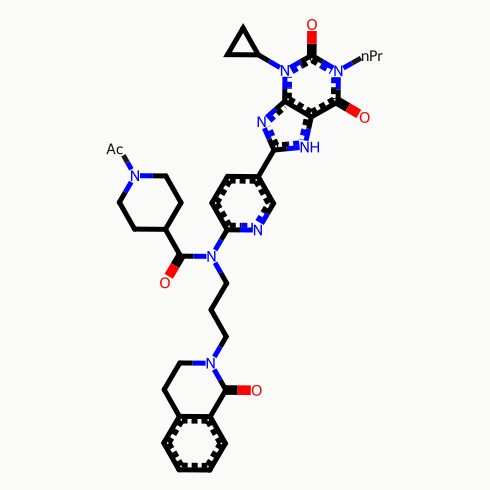 CCCn1c(=O)c2[nH]c(-c3ccc(N(CCCN4CCc5ccccc5C4=O)C(=O)C4CCN(C(C)=O)CC4)nc3)nc2n(C2CC2)c1=O